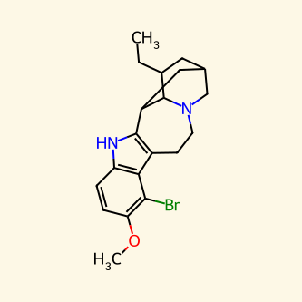 CCC1CC2CC3c4[nH]c5ccc(OC)c(Br)c5c4CCN(C2)C13